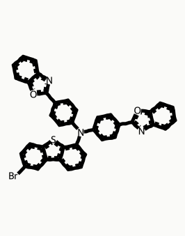 Brc1ccc2sc3c(N(c4ccc(-c5nc6ccccc6o5)cc4)c4ccc(-c5nc6ccccc6o5)cc4)cccc3c2c1